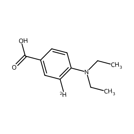 [2H]c1cc(C(=O)O)ccc1N(CC)CC